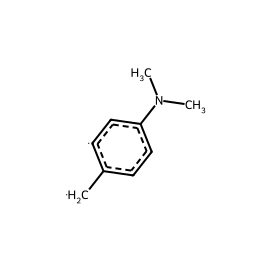 [CH2]c1[c]cc(N(C)C)cc1